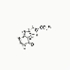 CCOC(=O)N1Cc2sc3nc[nH]c(=O)c3c2C1